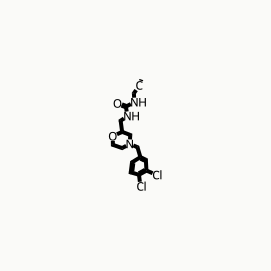 CCCNC(=O)NCC1CN(Cc2ccc(Cl)c(Cl)c2)CCO1